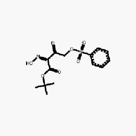 CC(C)(C)OC(=O)/C(=N\O)C(=O)COS(=O)(=O)c1ccccc1